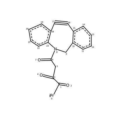 CC(C)C(=O)C(=O)CC(=O)N1Cc2ccccc2C#Cc2ccccc21